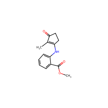 COC(=O)c1ccccc1NC1=C(C)C(=O)CC1